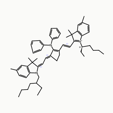 CCCCC(CC)CN1/C(=C/C=C2\CCC(/C=C/C3=[N+]([C@H](CC)CCCC)c4ccc(C)cc4C3(C)C)=C2N(c2ccccc2)c2ccccc2)C(C)(C)c2cc(C)ccc21